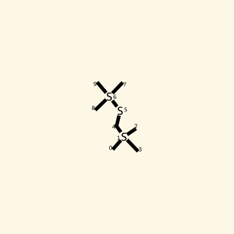 CS(C)(C)CSS(C)(C)C